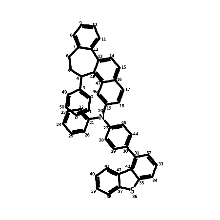 c1ccc(C2CCc3ccccc3-c3ccc4ccc(N(c5ccccc5)c5ccc(-c6cccc7sc8ccccc8c67)cc5)cc4c32)cc1